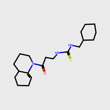 O=C(CCNC(=S)NCC1CCCCC1)N1CCCC2CCCC=C21